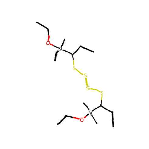 CCO[Si](C)(C)C(CC)SSSSC(CC)[Si](C)(C)OCC